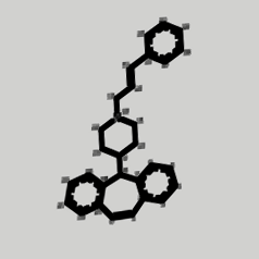 C1=Cc2ccccc2C(C2CCN(C/C=C/c3ccccc3)CC2)c2ccccc21